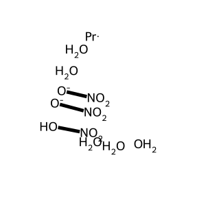 O.O.O.O.O.O=[N+]([O-])O.O=[N+]([O-])[O-].O=[N+]([O-])[O-].[Pr]